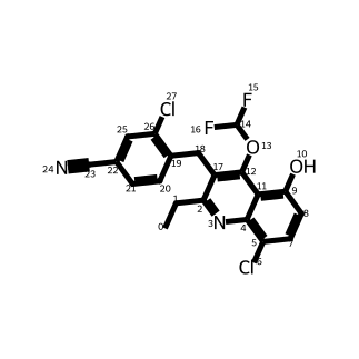 CCc1nc2c(Cl)ccc(O)c2c(OC(F)F)c1Cc1ccc(C#N)cc1Cl